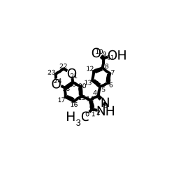 Cc1[nH]nc(-c2ccc(C(=O)O)cc2)c1-c1ccc2c(c1)OCCO2